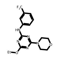 CCOc1nc(Nc2cccc(C(F)(F)F)c2)nc(N2CCOCC2)n1